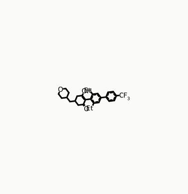 CCc1cc(-c2ccc(C(F)(F)F)cc2)cc(CC)c1C1=C(O)CC(CC2CCOCC2)CC1=O